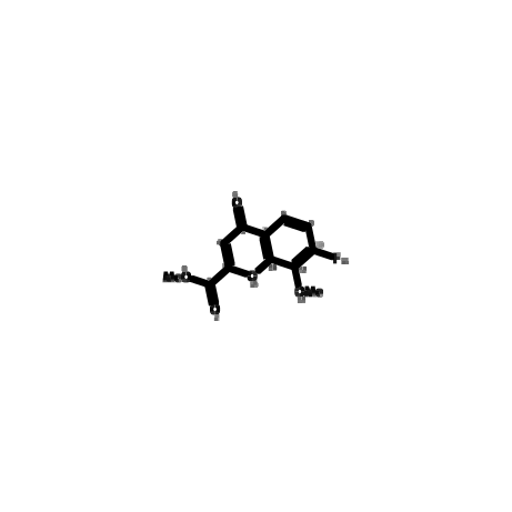 COC(=O)c1cc(=O)c2ccc(F)c(OC)c2o1